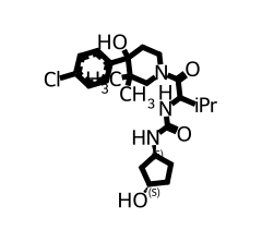 CC(C)C(NC(=O)N[C@H]1CC[C@H](O)C1)C(=O)N1CCC(O)(c2ccc(Cl)cc2)C(C)(C)C1